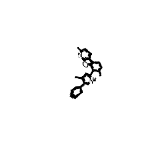 Cc1ccc2c(n1)oc1c(-c3cc(C)c(-c4ccccc4)c[n+]3C)c(C)ccc12